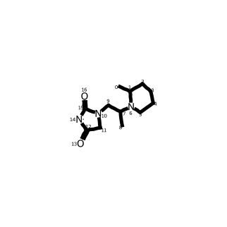 CC1CCCCN1C(C)CN1CC(=O)[N]C1=O